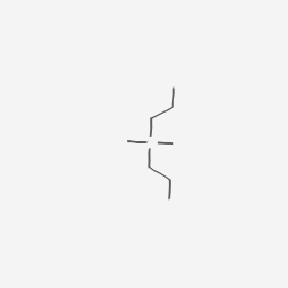 C[N+](C)(CCO)CCO.[Br-]